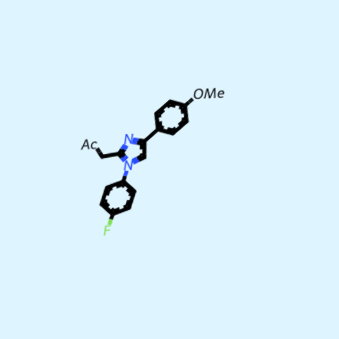 COc1ccc(-c2cn(-c3ccc(F)cc3)c(CC(C)=O)n2)cc1